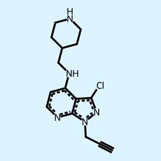 C#CCn1nc(Cl)c2c(NCC3CCNCC3)ccnc21